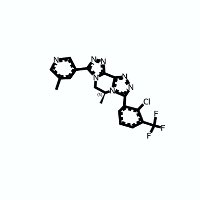 Cc1cncc(-c2nnc3n2C[C@H](C)n2c(-c4cccc(C(F)(F)F)c4Cl)nnc2-3)c1